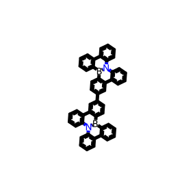 c1ccc2c(c1)B1c3ccc(-c4ccc5c(c4)-c4ccccc4N4B5c5ccccc5-c5ccccc54)cc3-c3ccccc3N1c1ccccc1-2